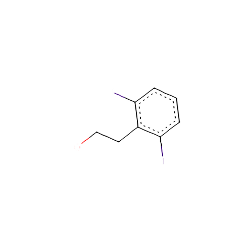 [O]CCc1c(I)cccc1I